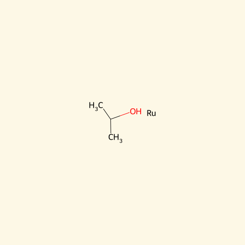 CC(C)O.[Ru]